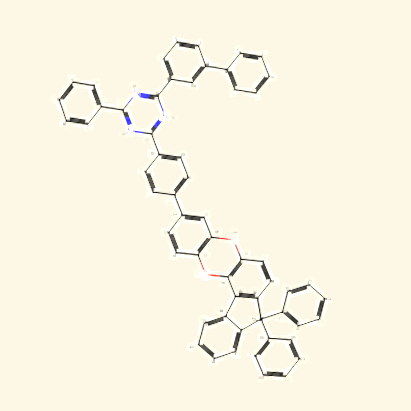 c1ccc(-c2cccc(-c3nc(-c4ccccc4)nc(-c4ccc(-c5ccc6c(c5)Oc5ccc7c(c5O6)-c5ccccc5C7(c5ccccc5)c5ccccc5)cc4)n3)c2)cc1